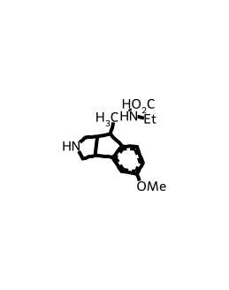 CCNC(=O)O.COc1ccc2c(c1)C1CNCC1C2C